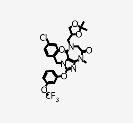 CN1C(=O)CN(CC2COC(C)(C)O2)C(=O)c2c1nc(Oc1cccc(OC(F)(F)F)c1)n2Cc1ccc(Cl)cc1